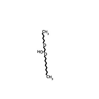 CCCCCCCCCCO[C@H](O)CCOCCCCCC